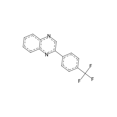 FC(F)(F)c1ccc(-c2cnc3ccccc3n2)cc1